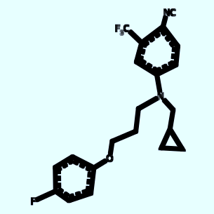 [C-]#[N+]c1ccc(N(CCCOc2ccc(F)cc2)CC2CC2)cc1C(F)(F)F